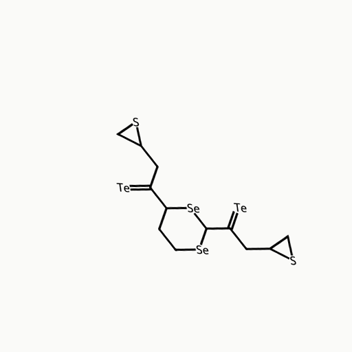 [Te]=C(CC1CS1)C1CC[Se]C(C(=[Te])CC2CS2)[Se]1